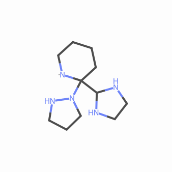 C1CCC(C2NCCN2)(N2CCCN2)[N]C1